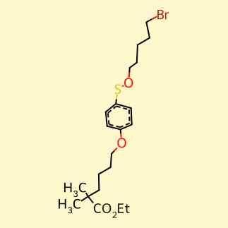 CCOC(=O)C(C)(C)CCCCOc1ccc(SOCCCCCBr)cc1